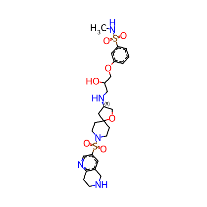 CNS(=O)(=O)c1cccc(OCC(O)CN[C@H]2COC3(CCN(S(=O)(=O)c4cnc5c(c4)CNCC5)CC3)C2)c1